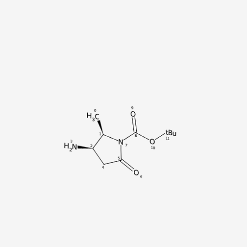 C[C@@H]1[C@H](N)CC(=O)N1C(=O)OC(C)(C)C